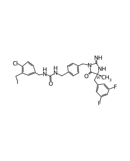 C[C@]1(Cc2cc(F)cc(F)c2)NC(=N)N(Cc2ccc(CNC(=O)NCc3ccc(Cl)c(CI)c3)cc2)C1=O